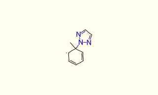 CC1(n2nccn2)[CH]C=CC=C1